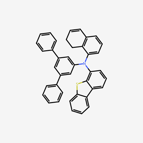 C1=Cc2cccc(N(c3cc(-c4ccccc4)cc(-c4ccccc4)c3)c3cccc4c3sc3ccccc34)c2CC1